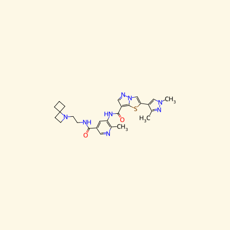 Cc1ncc(C(=O)NCCN2CCC23CCC3)cc1NC(=O)c1cnn2cc(-c3cn(C)nc3C)sc12